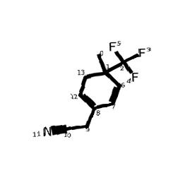 CC1(C(F)(F)F)C=CC(CC#N)=CC1